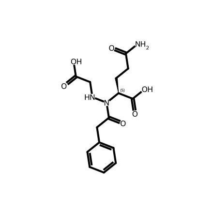 NC(=O)CC[C@@H](C(=O)O)N(NCC(=O)O)C(=O)Cc1ccccc1